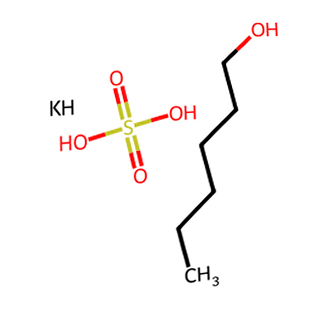 CCCCCCO.O=S(=O)(O)O.[KH]